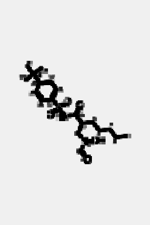 CCCCCC(CN(O)C=O)C(=O)NS(=O)(=O)c1ccc(C(C)(C)C)cc1